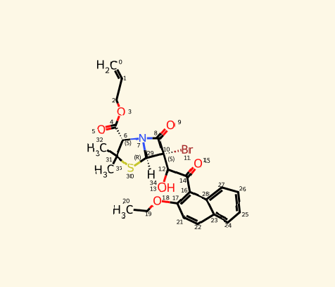 C=CCOC(=O)[C@@H]1N2C(=O)[C@@](Br)(C(O)C(=O)c3c(OCC)ccc4ccccc34)[C@H]2SC1(C)C